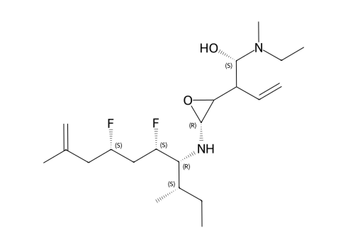 C=CC(C1O[C@H]1N[C@H]([C@@H](C)CC)[C@@H](F)C[C@@H](F)CC(=C)C)[C@H](O)N(C)CC